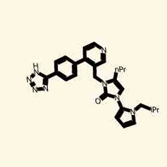 CCCc1cn(-c2cccn2CC(C)C)c(=O)n1Cc1cnccc1-c1ccc(-c2nnn[nH]2)cc1